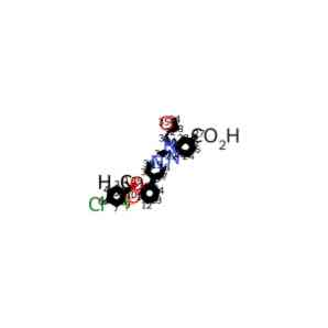 C[C@]1(c2ccc(Cl)cc2F)Oc2cccc(C3=CCN(Cc4nc5ccc(C(=O)O)cc5n4C[C@@H]4CCO4)CC3)c2O1